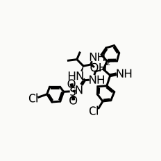 CC(C)[C@H](N/C(=N\S(=O)(=O)c1ccc(Cl)cc1)NC[C@H](C(=N)c1ccc(Cl)cc1)c1ccccc1)C(N)O